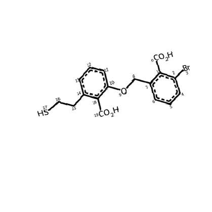 O=C(O)c1c(Br)cccc1COc1cccc(CCS)c1C(=O)O